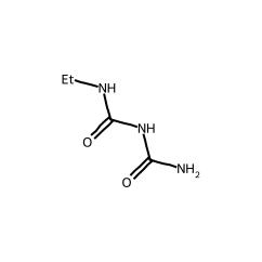 CCNC(=O)NC(N)=O